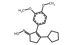 COc1ccc(C2=C(C3CCCC3)CCC2=NO)cc1OC